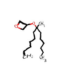 CCCCCCC(C)(CCCCCC)OC1COC1